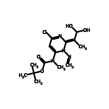 C=NN1C(N(C)C(=O)OC(C)(C)C)=CC(Cl)=N/C1=C(/C)C(O)O